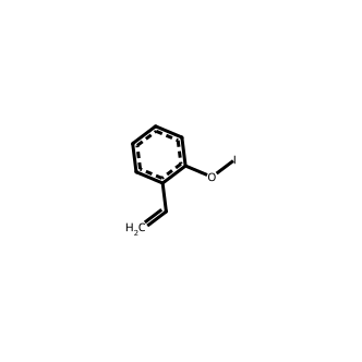 C=Cc1ccccc1OI